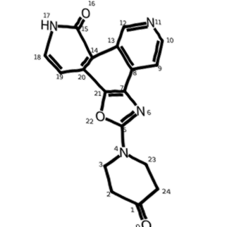 O=C1CCN(c2nc3c4ccncc4c4c(=O)[nH]ccc4c3o2)CC1